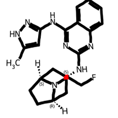 Cc1cc(Nc2nc(N[C@@H]3C[C@H]4CC[C@@H](C3)N4CCF)nc3ccccc23)n[nH]1